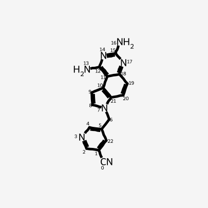 N#Cc1cncc(Cn2ccc3c4c(N)nc(N)nc4ccc32)c1